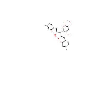 Cc1ccc2c(O)c(C(c3ccc4c(c3)OCCO4)c3c(O)c4ccc(C)cc4oc3=O)c(=O)oc2c1